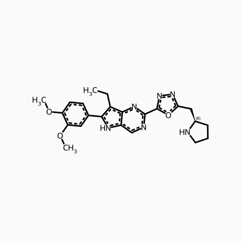 CCc1c(-c2ccc(OC)c(OC)c2)[nH]c2cnc(-c3nnc(C[C@H]4CCCN4)o3)nc12